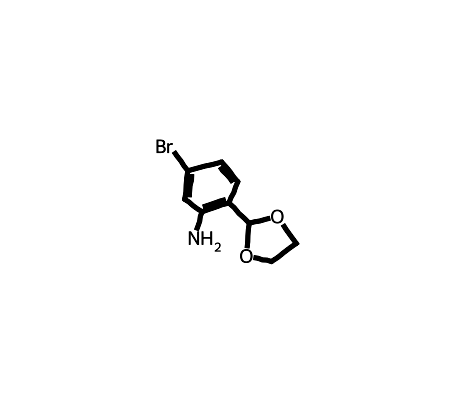 Nc1cc(Br)ccc1C1OCCO1